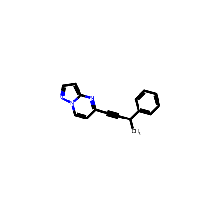 CC(C#Cc1ccn2nccc2n1)c1ccccc1